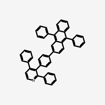 c1ccc(-c2ccnc(-c3ccccc3)c2-c2ccc(-c3ccc4c(-c5ccccc5)c5ccccc5c(-c5ccccc5)c4c3)cc2)cc1